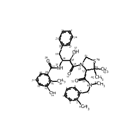 Cc1ccccc1CN(C)C(=O)C1N(C(=O)C(O)C(Cc2ccccc2)NC(=O)c2cccc(O)c2C)CSC1(C)C